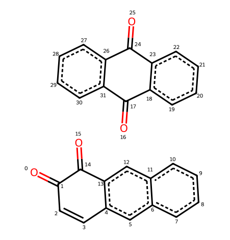 O=C1C=Cc2cc3ccccc3cc2C1=O.O=C1c2ccccc2C(=O)c2ccccc21